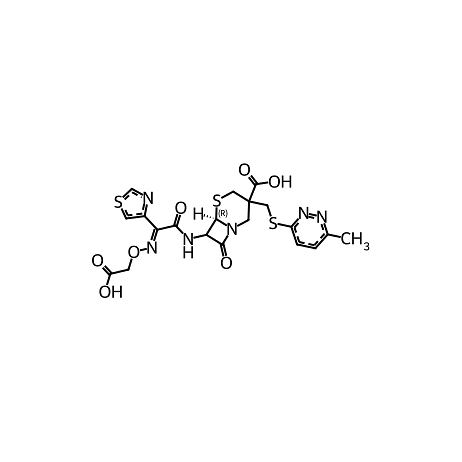 Cc1ccc(SCC2(C(=O)O)CS[C@@H]3C(NC(=O)C(=NOCC(=O)O)c4cscn4)C(=O)N3C2)nn1